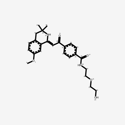 COc1ccc2c(c1)C(=CC(=O)c1ccc(C(=O)NCCOCCO)cc1)NC(C)(C)C2